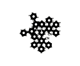 N#Cc1c(-c2ccccc2)c(-c2ccccc2)c(-c2ccccc2)c(-c2ccccc2)c1-c1cc(-c2c(C#N)c(-c3ccccc3)c(-c3ccccc3)c(-c3ccccc3)c2-c2ccccc2)nc(-n2c3ccc(-c4ccccc4)cc3c3cc(-c4ccccc4)ccc32)c1